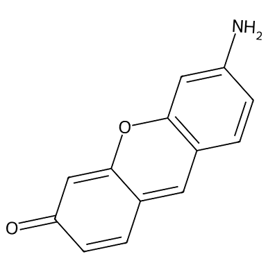 Nc1ccc2cc3ccc(=O)cc-3oc2c1